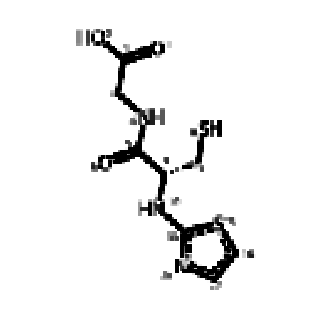 O=C(O)CNC(=O)[C@H](CS)Nc1nccs1